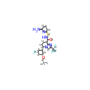 CC(C)COc1cc(F)cc(-c2ccc(C(=O)NSc3cccc(N)n3)c3nc(C(F)(F)F)cn23)c1